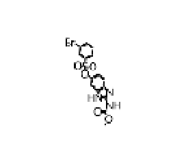 COC(=O)Nc1nc2ccc(OS(=O)(=O)c3cccc(Br)c3)cc2[nH]1